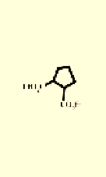 CCOC(=O)C1CCCC1C(=O)OCC